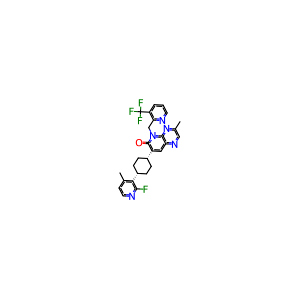 Cc1cnc2cc([C@H]3CC[C@@H](c4c(C)ccnc4F)CC3)c(=O)n(Cc3ncccc3C(F)(F)F)c2n1